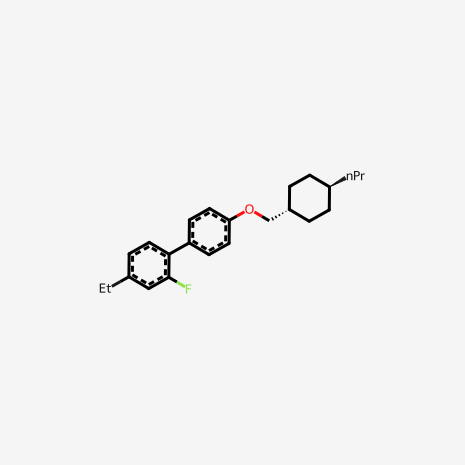 CCC[C@H]1CC[C@H](COc2ccc(-c3ccc(CC)cc3F)cc2)CC1